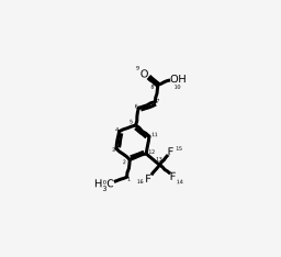 CCc1ccc(C=CC(=O)O)cc1C(F)(F)F